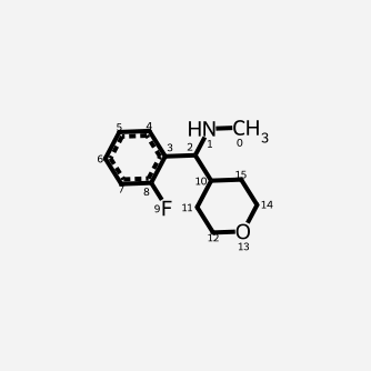 CNC(c1ccccc1F)C1CCOCC1